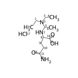 CCN(CC)C(C)NC(CCC(N)=O)C(=O)O.Cl